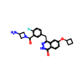 NC1CN(C(=O)c2cc(Cc3n[nH]c(=O)c4ccc(OC5CCC5)cc34)ccc2F)C1